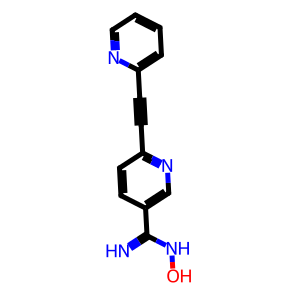 N=C(NO)c1ccc(C#Cc2ccccn2)nc1